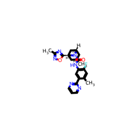 Cc1noc([C@@]23C[C@H](C)C[C@@H](C2)N3C(=O)Nc2cc(-c3ncccn3)c(C)cc2F)n1